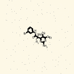 CCOc1nc(N)nc([C@@](C)(NC)C(=O)Nc2cccc(Br)c2)c1C#N